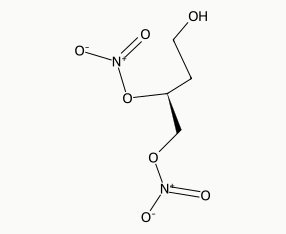 O=[N+]([O-])OC[C@H](CCO)O[N+](=O)[O-]